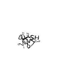 CCN1C(=O)N(CC(C)C)C(C)(CS)C1=O